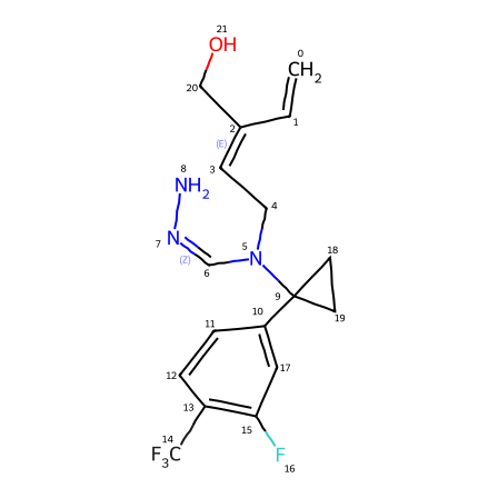 C=C/C(=C\CN(/C=N\N)C1(c2ccc(C(F)(F)F)c(F)c2)CC1)CO